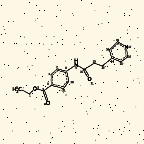 CCOC(=O)c1ccc(NC(=O)CCc2ccncc2)cc1